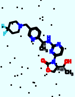 C[C@H](Nc1nccc(N2C(=O)OC[C@@H]2[C@@H](C)O)n1)c1ccc(CN2CCC(F)(F)CC2)cn1